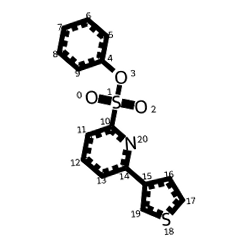 O=S(=O)(Oc1ccccc1)c1cccc(-c2ccsc2)n1